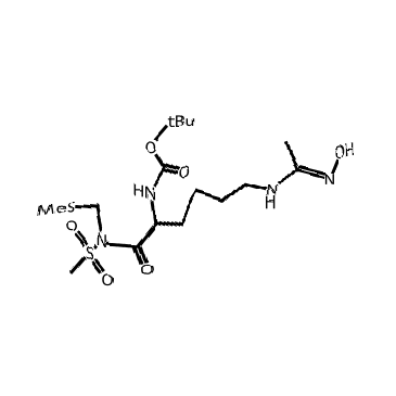 CSCN(C(=O)C(CCCCN/C(C)=N/O)NC(=O)OC(C)(C)C)S(C)(=O)=O